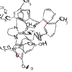 Cc1ccc(/N=C/[C]2([Ru+2](=[C]3C=C(c4ccccc4)c4ccccc43)=[C]3N(c4c(C)cc(C)cc4C)CCN3c3c(C)cc(C)cc3C)C=C([N+](=O)[O-])C=CC2O)cc1.[Cl-].[Cl-]